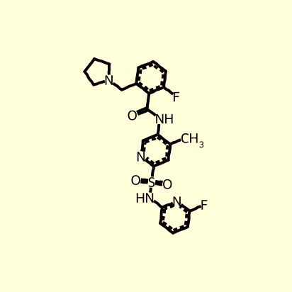 Cc1cc(S(=O)(=O)Nc2cccc(F)n2)ncc1NC(=O)c1c(F)cccc1CN1CCCC1